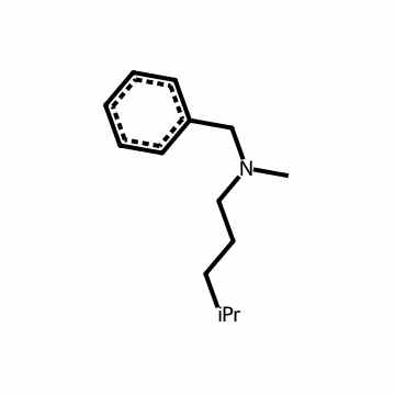 CC(C)CCCN(C)Cc1ccccc1